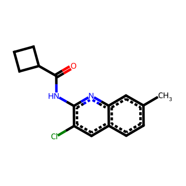 Cc1ccc2cc(Cl)c(NC(=O)C3CCC3)nc2c1